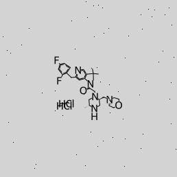 C[C@@H]1CN(CC(=O)N2CC(C)(C)c3cnc(Cc4ccc(F)cc4F)cc32)[C@@H](CN2CCOCC2)CN1.Cl.Cl